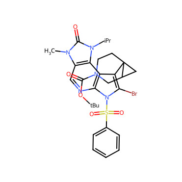 CC(C)n1c(=O)n(C)c2cnc3c(c(C45CCN(C(=O)OC(C)(C)C)CC4C5)c(Br)n3S(=O)(=O)c3ccccc3)c21